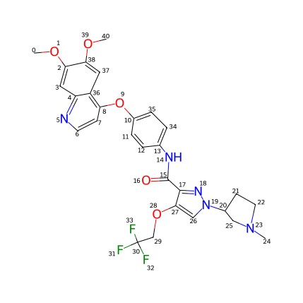 COc1cc2nccc(Oc3ccc(NC(=O)c4nn(C5CCN(C)C5)cc4OCC(F)(F)F)cc3)c2cc1OC